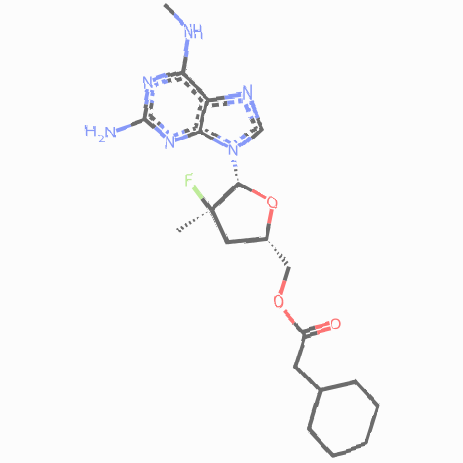 CNc1nc(N)nc2c1ncn2[C@@H]1O[C@H](COC(=O)CC2CCCCC2)C[C@@]1(C)F